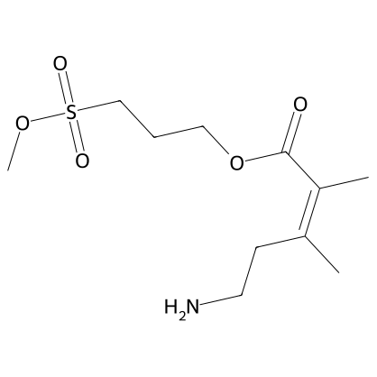 COS(=O)(=O)CCCOC(=O)C(C)=C(C)CCN